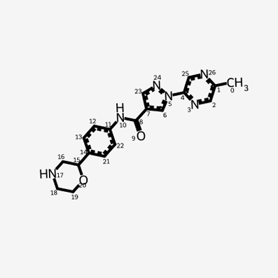 Cc1cnc(-n2cc(C(=O)Nc3ccc(C4CNCCO4)cc3)cn2)cn1